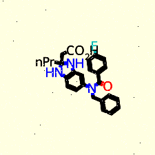 CCCC1(CC(=O)O)Nc2ccc(N(Cc3ccccc3)C(=O)c3ccc(F)cc3)cc2N1